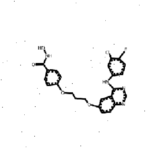 O=C(NO)c1ccc(OCCCOc2ccc3ncnc(Nc4ccc(F)c(Cl)c4)c3c2)cc1